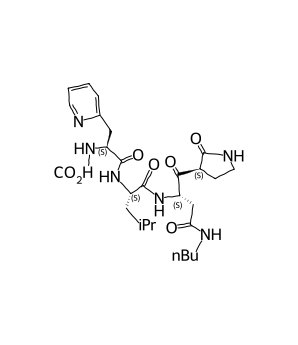 CCCCNC(=O)C[C@H](NC(=O)[C@H](CC(C)C)NC(=O)[C@H](Cc1ccccn1)NC(=O)O)C(=O)[C@@H]1CCNC1=O